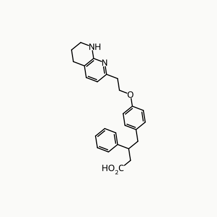 O=C(O)CC(Cc1ccc(OCCc2ccc3c(n2)NCCC3)cc1)c1ccccc1